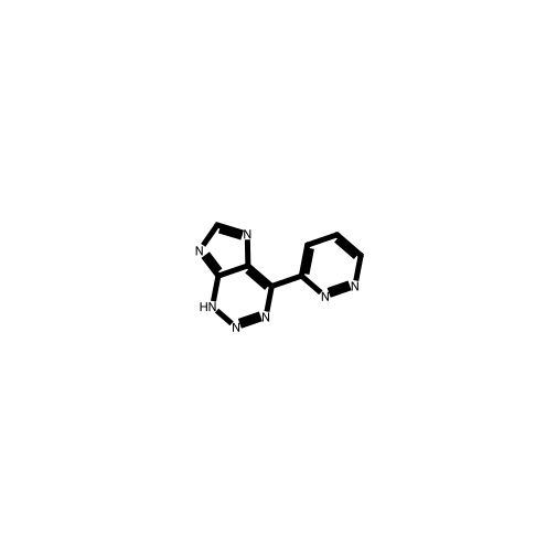 c1cnnc(-c2nn[nH]c3ncnc2-3)c1